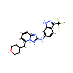 FC(F)(F)c1n[nH]c2cc(Nc3nc4cccc(CC5CCOCC5)n4n3)ccc12